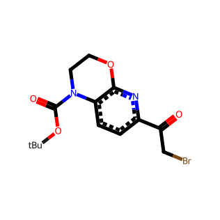 CC(C)(C)OC(=O)N1CCOc2nc(C(=O)CBr)ccc21